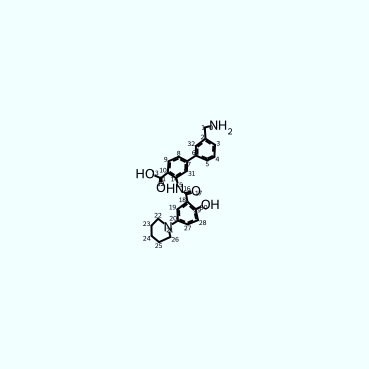 NCc1cccc(-c2ccc(C(=O)O)c(NC(=O)c3cc(N4CCCCC4)ccc3O)c2)c1